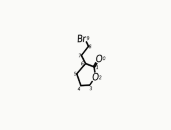 O=C1OCCCC1CCBr